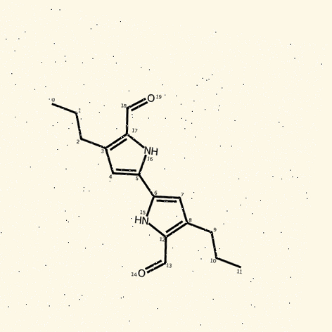 CCCc1cc(-c2cc(CCC)c(C=O)[nH]2)[nH]c1C=O